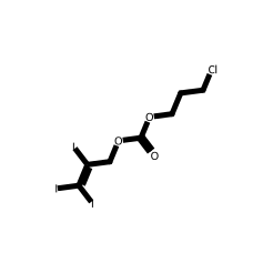 O=C(OCCCCl)OCC(I)=C(I)I